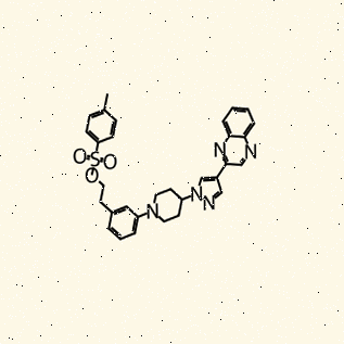 Cc1ccc(S(=O)(=O)OCCc2cccc(N3CCC(n4cc(-c5cnc6ccccc6n5)cn4)CC3)c2)cc1